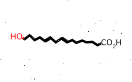 O=C(O)CCCCCCC=CCC=CCCCCO